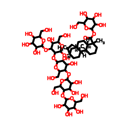 C=C1C[C@@]23CC[C@@H]4C(C)(C(=O)OC5OC(CO)C(O)C(O)C5O)CCC[C@@]4(C)[C@@H]2CC[C@]1(OC1OC(CO)C(O)C(OC2OC(CO)C(O)C(O)C2O)C1OC1OC(CO)C(OC2OC(CO)C(OC4OC(CO)C(O)C(O)C4O)C(O)C2O)C(O)C1O)C3